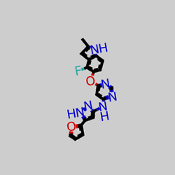 Cc1cc2c(F)c(Oc3cc(Nc4cc(-c5ccco5)[nH]n4)ncn3)ccc2[nH]1